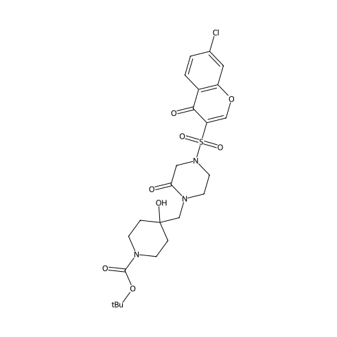 CC(C)(C)OC(=O)N1CCC(O)(CN2CCN(S(=O)(=O)c3coc4cc(Cl)ccc4c3=O)CC2=O)CC1